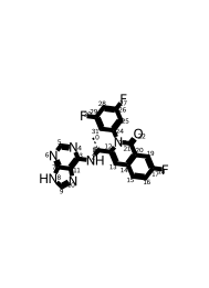 C[C@@H](Nc1ncnc2[nH]cnc12)c1cc2ccc(F)cc2c(=O)n1-c1cc(F)cc(F)c1